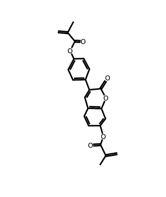 C=C(C)C(=O)Oc1ccc(-c2cc3ccc(OC(=O)C(=C)C)cc3oc2=O)cc1